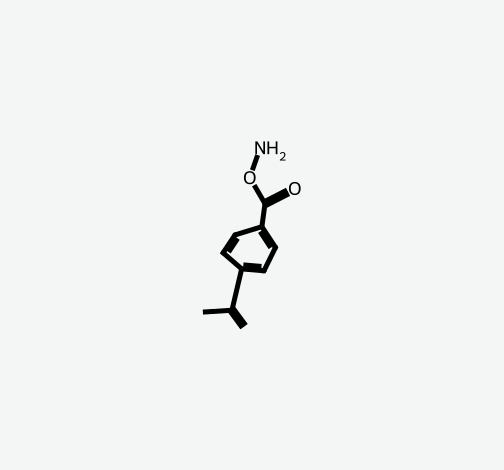 C=C(C)c1ccc(C(=O)ON)cc1